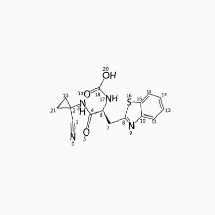 N#CC1(NC(=O)[C@H](Cc2nc3ccccc3s2)NC(=O)O)CC1